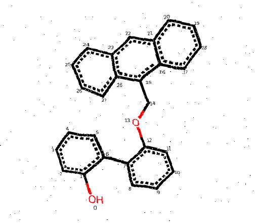 Oc1ccccc1-c1ccccc1OCc1c2ccccc2cc2ccccc12